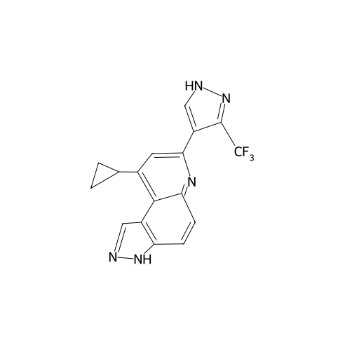 FC(F)(F)c1n[nH]cc1-c1cc(C2CC2)c2c(ccc3[nH]ncc32)n1